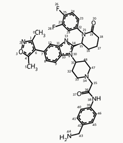 Cc1noc(C)c1-c1ccc2c(c1)nc([C@@H]1CCCC(=O)N1c1ccc(F)c(F)c1)n2C1CCN(CC(=O)Nc2ccc(CN)cc2)CC1